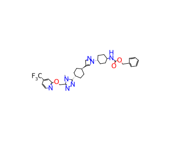 Cn1c(COc2cc(C(F)(F)F)ccn2)nnc1[C@H]1CC[C@H](c2cnn([C@H]3CC[C@H](NC(=O)OCc4ccccc4)CC3)c2)CC1